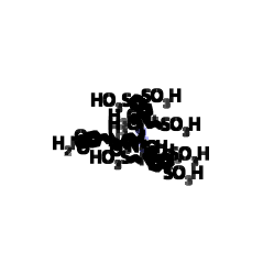 CC1(C)C(/C=C/C(=C/C=C2/N(CCCS(=O)(=O)O)c3ccc4c(S(=O)(=O)O)cc(S(=O)(=O)O)cc4c3C2(C)C)c2ccc(C(=O)NCCc3ccc(S(N)(=O)=O)cc3)cn2)=[N+](CCCS(=O)(=O)O)c2ccc3c(S(=O)(=O)O)cc(S(=O)(=O)O)cc3c21